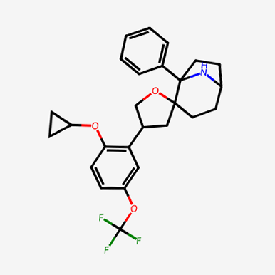 FC(F)(F)Oc1ccc(OC2CC2)c(C2COC3(CCC4CCC3(c3ccccc3)N4)C2)c1